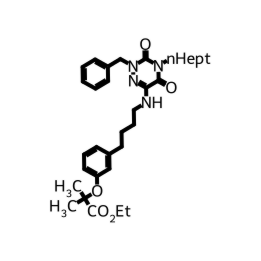 CCCCCCCn1c(=O)c(NCCCCc2cccc(OC(C)(C)C(=O)OCC)c2)nn(Cc2ccccc2)c1=O